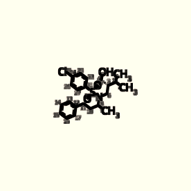 CC(C)[C@@H](CO)CN(C(C)CCc1ccccc1)S(=O)(=O)c1ccc(Cl)cc1